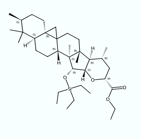 CCOC(=O)[C@H]1C[C@@H](C)[C@H]2[C@H](O1)[C@H](O[Si](CC)(CC)CC)[C@@]1(C)[C@@H]3CC[C@H]4C(C)(C)[C@@H](C)CC[C@@]45CC35CC[C@]21C